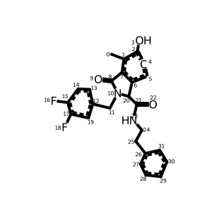 Cc1c(O)ccc2c1C(=O)N(Cc1ccc(F)c(F)c1)C2C(=O)NCCc1ccccc1